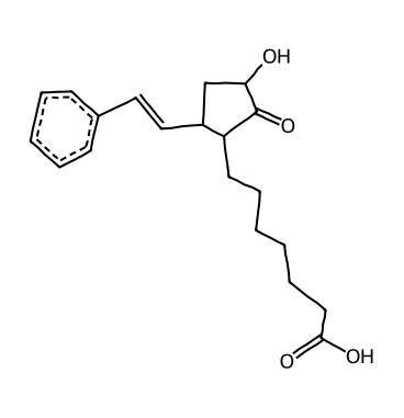 O=C(O)CCCCCCC1C(=O)C(O)CC1C=Cc1ccccc1